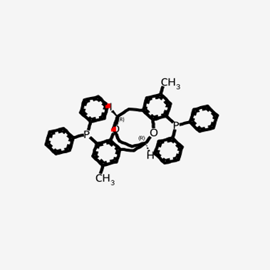 Cc1cc2c(c(P(c3ccccc3)c3ccccc3)c1)O[C@@H]1CCC[C@H](C2)Oc2c(cc(C)cc2P(c2ccccc2)c2ccccc2)C1